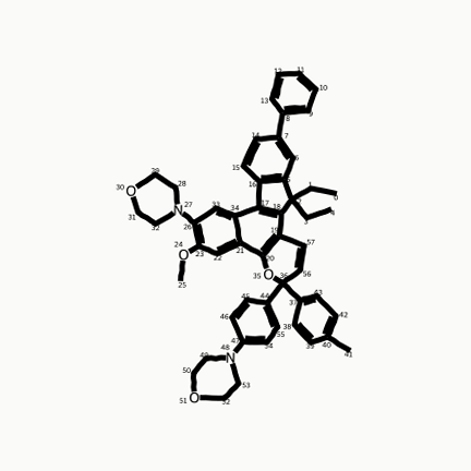 CCC1(CC)c2cc(-c3ccccc3)ccc2-c2c1c1c(c3cc(OC)c(N4CCOCC4)cc23)OC(c2ccc(C)cc2)(c2ccc(N3CCOCC3)cc2)C=C1